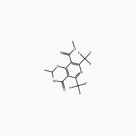 COC(=O)c1c(C(F)(F)F)nc(C(F)(F)F)c(C(=O)O)c1OC(C)C